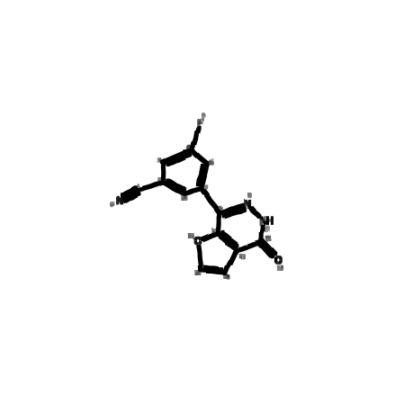 N#Cc1cc(F)cc(-c2n[nH]c(=O)c3ccoc23)c1